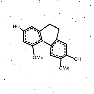 COc1cc2c(cc1O)CCc1cc(O)cc(OC)c1-2